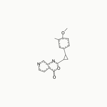 COc1ccc(C2CC2c2nc3cnccc3c(=O)o2)cc1C